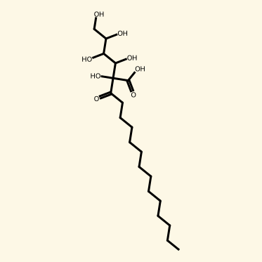 CCCCCCCCCCCCCC(=O)C(O)(C(=O)O)C(O)C(O)C(O)CO